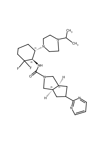 CC(C)N1CCN([C@H]2CCCC(F)(F)[C@@H]2NC(=O)N2C[C@H]3CC(c4ncccn4)C[C@H]3C2)CC1